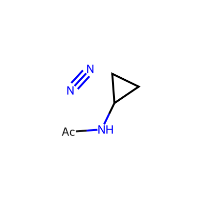 CC(=O)NC1CC1.N#N